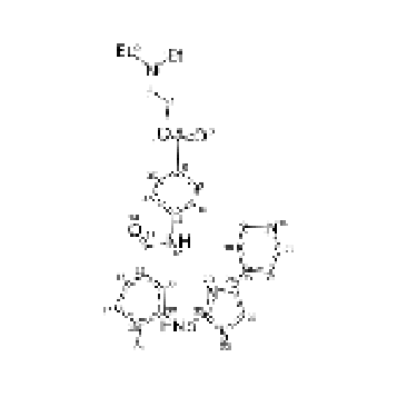 CCN(CC)CCOC(=O)c1ccc(NC(=O)c2ccc(C)c(Nc3nc(-c4ccncc4)cs3)c2)cc1